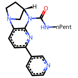 CCCCCNC(=O)N1c2nc(-c3cccnc3)ccc2N2CC[C@H]1C2